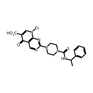 CCn1cc(C(=O)O)c(=O)c2cnc(N3CCN(C(=S)NC(C)c4ccccc4)CC3)nc21